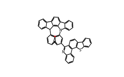 c1ccc(C2c3ccccc3-c3ccc4c5ccccc5n(-c5cccc(-c6nc7ccccc7c7c6ccc6c8ccccc8sc67)c5)c4c32)cc1